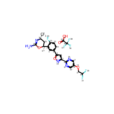 C[C@@]1(c2cc(-c3cc(-c4ncc(OCC(F)F)cn4)no3)ccc2F)C[C@@H](C(F)(F)F)N=C(N)O1.O=C(O)C(F)(F)F